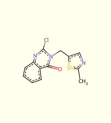 Cc1ncc(Cn2c(Cl)nc3ccccc3c2=O)s1